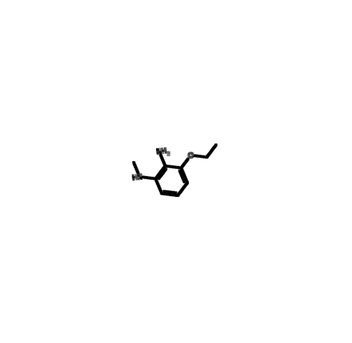 CCOc1cccc(NC)c1N